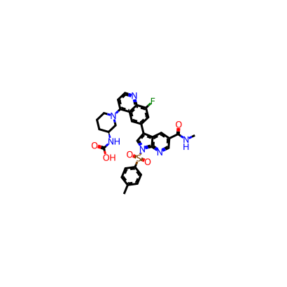 CNC(=O)c1cnc2c(c1)c(-c1cc(F)c3nccc(N4CCC[C@H](NC(=O)O)C4)c3c1)cn2S(=O)(=O)c1ccc(C)cc1